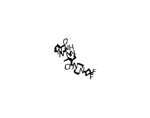 Cc1c(C(=O)N2CCN(C3CC(F)(F)C3)CC2)cnn1-c1nn2cccc2c(=O)[nH]1